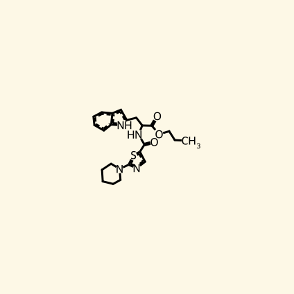 CCCOC(=O)C(Cc1cc2ccccc2[nH]1)NC(=O)c1cnc(N2CCCCC2)s1